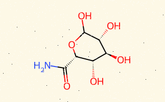 NC(=O)[C@@H]1OC(O)[C@H](O)[C@@H](O)[C@@H]1O